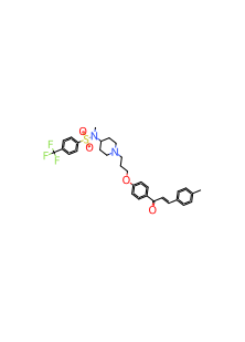 Cc1ccc(C=CC(=O)c2ccc(OCCCN3CCC(N(C)S(=O)(=O)c4ccc(C(F)(F)F)cc4)CC3)cc2)cc1